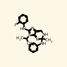 CC(C)n1c(Nc2ccccc2F)nc2c1=NC(C)(Nc1ccccc1)NC=2